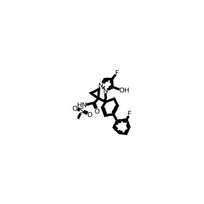 CS(=O)(=O)NC(=O)C1(C2(n3ncc(F)c3O)C=CC(c3ccccc3F)=CC2)CC1